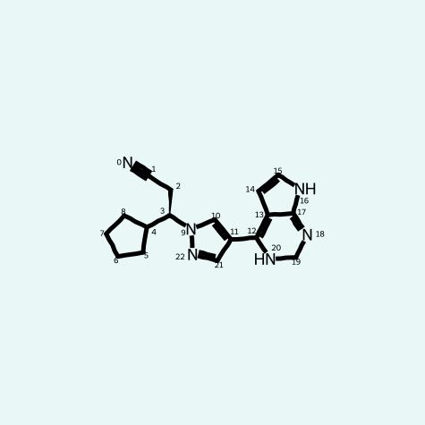 N#CC[C@H](C1CCCC1)n1cc(C2=c3cc[nH]c3=NCN2)cn1